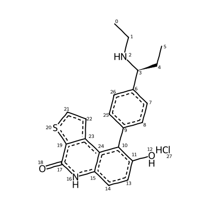 CCN[C@@H](CC)c1ccc(-c2c(O)ccc3[nH]c(=O)c4sccc4c23)cc1.Cl